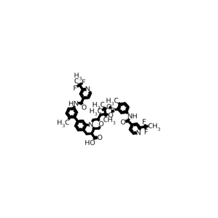 Cc1ccc(NC(=O)c2ccnc(C(C)(F)F)c2)cc1B1OC(C)(C)C(C)(CC2CN3c4cc(-c5cc(NC(=O)c6ccnc(C(C)(F)F)c6)ccc5C)ccc4CC(C(=O)O)C3CO2)O1